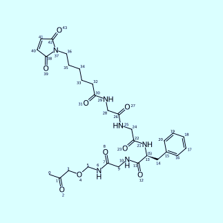 CC(=O)COCNC(=O)CNC(=O)[C@H](Cc1ccccc1)NC(=O)CNC(=O)CNC(=O)CCCCCN1C(=O)C=CC1=O